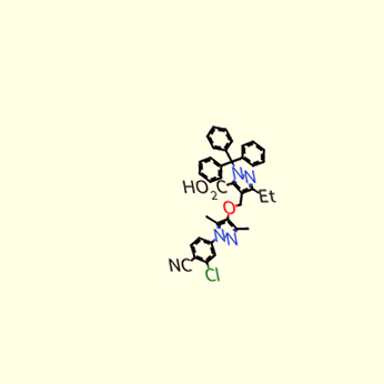 CCc1nn(C(c2ccccc2)(c2ccccc2)c2ccccc2)c(C(=O)O)c1COc1c(C)nn(-c2ccc(C#N)c(Cl)c2)c1C